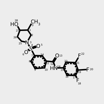 CC1CN(S(=O)(=O)c2cccc(C(=O)Nc3cc(F)c(F)c(F)c3)c2)CCC1O